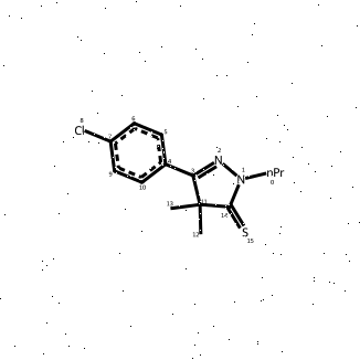 CCCN1N=C(c2ccc(Cl)cc2)C(C)(C)C1=S